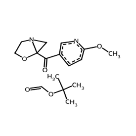 CC(C)(C)OC=O.COc1ccc(C(=O)C23CN2CCO3)cn1